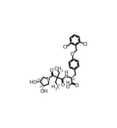 CCC(CC)(C(=O)N[C@@H](Cc1ccc(OCc2c(Cl)cccc2Cl)cc1)C(=O)O)C(=O)N1C[C@H](O)[C@@H](O)C1